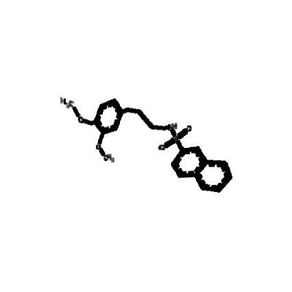 COc1ccc(CCNS(=O)(=O)c2ccc3ccccc3c2)cc1OC